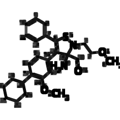 COCCN1SC(c2ccccc2)=C(c2ccc(C3CCCCC3)c(OC)c2)C1(N)C=O